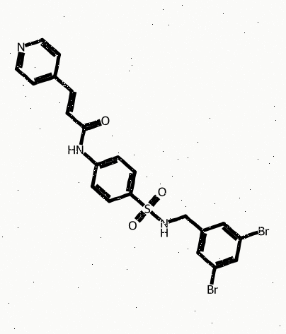 O=C(/C=C/c1ccncc1)Nc1ccc(S(=O)(=O)NCc2cc(Br)cc(Br)c2)cc1